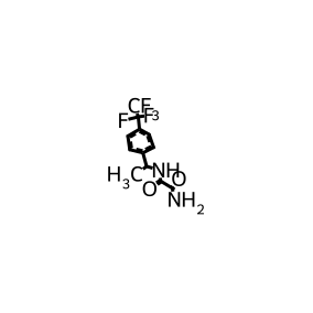 CC(NC(=O)C(N)=O)c1ccc(C(F)(F)C(F)(F)F)cc1